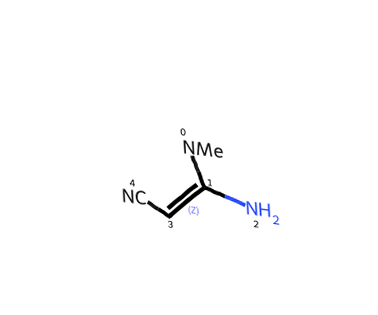 CN/C(N)=C\C#N